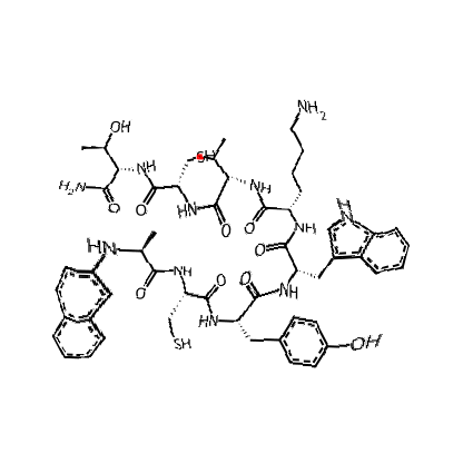 CC(C)[C@H](NC(=O)[C@H](CCCCN)NC(=O)[C@H](Cc1c[nH]c2ccccc12)NC(=O)[C@H](Cc1ccc(O)cc1)NC(=O)[C@H](CS)NC(=O)[C@H](C)Nc1ccc2ccccc2c1)C(=O)N[C@@H](CS)C(=O)N[C@H](C(N)=O)[C@@H](C)O